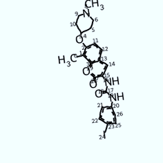 Cc1c(OC2CCN(C)CC2)ccc2cc(NC(=O)Nc3ccc(I)cc3)c(=O)oc12